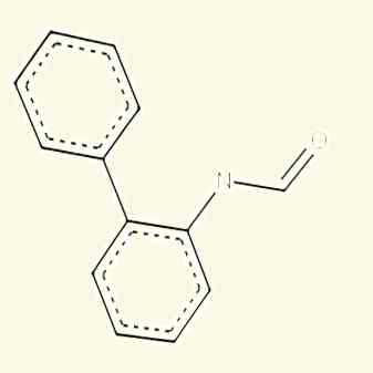 O=C[N]c1ccccc1-c1ccccc1